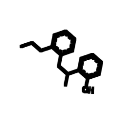 CCCc1ccccc1CC(C)c1ccccc1O